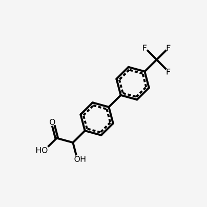 O=C(O)C(O)c1ccc(-c2ccc(C(F)(F)F)cc2)cc1